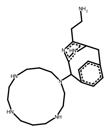 NCCc1nc2[nH]c1Cc1ccc(cc1)C2N1CCCNCCNCCCNCC1